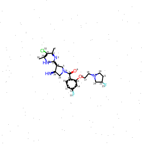 CC1=N/C(=C2\CN(C(=O)c3ccc(F)cc3OCCN3CC[C@@H](F)C3)CC2=N)NC(C)=C1Cl